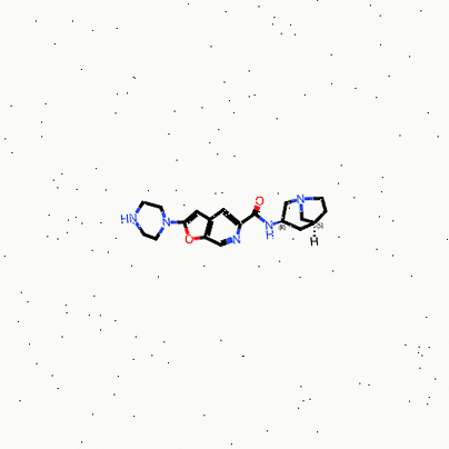 O=C(N[C@@H]1C[C@@H]2CCN(C2)C1)c1cc2cc(N3CCNCC3)oc2cn1